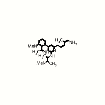 C=C(Nc1cc(-c2cccc(NC)c2C(C)=N)cc(C/C=C\C(C)=C/N)n1)C(C)NC